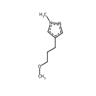 COCCCc1cnn(C)c1